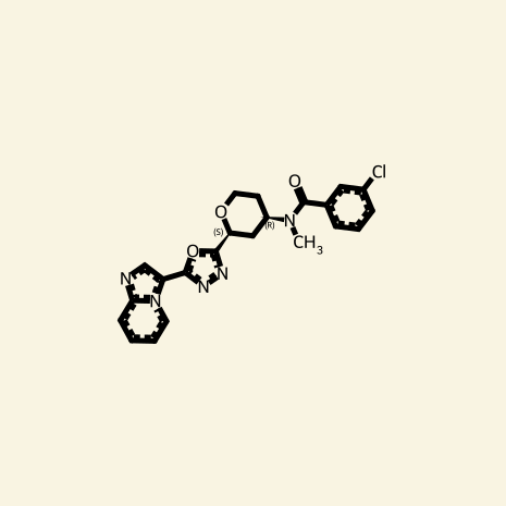 CN(C(=O)c1cccc(Cl)c1)[C@@H]1CCO[C@H](c2nnc(-c3cnc4ccccn34)o2)C1